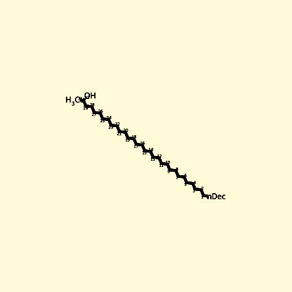 CCCCCCCCCCCCCCCCCCCCCCCCCCCCCCCCCCCCCCCC(C)O